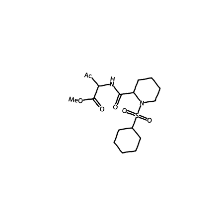 COC(=O)C(NC(=O)C1CCCCN1S(=O)(=O)C1CCCCC1)C(C)=O